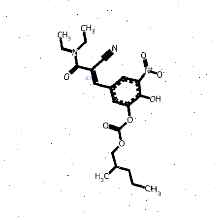 CCCC(C)COC(=O)Oc1cc(/C=C(\C#N)C(=O)N(CC)CC)cc([N+](=O)[O-])c1O